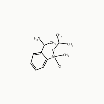 CC(C)[O][Sn]([CH3])([Cl])[c]1ccccc1C(C)N